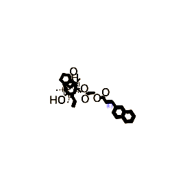 C=C[C@]1(C)C[C@@H](OC(=O)COC(=O)/C=C/c2ccc3ccccc3c2)[C@]2(C)[C@H](C)CC[C@]3(CCC(=O)[C@H]32)[C@@H](C)[C@@H]1O